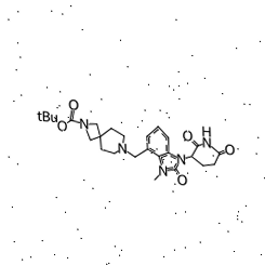 Cn1c(=O)n(C2CCC(=O)NC2=O)c2cccc(CN3CCC4(CC3)CN(C(=O)OC(C)(C)C)C4)c21